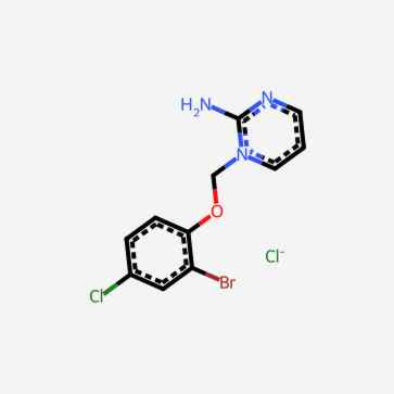 Nc1nccc[n+]1COc1ccc(Cl)cc1Br.[Cl-]